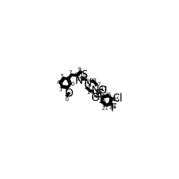 COc1cccc(Cc2csc(N3CCN(S(=O)(=O)c4ccc(F)c(Cl)c4)CC3)n2)c1